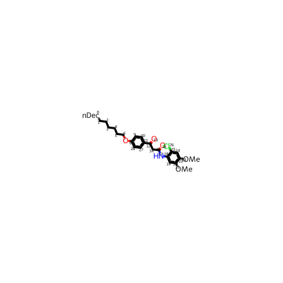 CCCCCCCCCCCCCCCCOc1ccc(C(=O)CC(=O)Nc2cc(OC)c(OC)cc2Cl)cc1